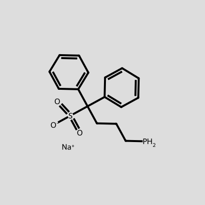 O=S(=O)([O-])C(CCCP)(c1ccccc1)c1ccccc1.[Na+]